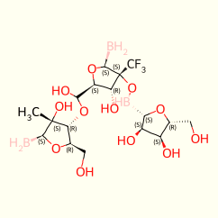 B[C@@H]1O[C@H](CO)[C@@H](OC(O)[C@H]2O[C@@H](B)[C@@](OB[C@@H]3O[C@H](CO)[C@@H](O)[C@H]3O)(C(F)(F)F)[C@@H]2O)[C@@]1(C)O